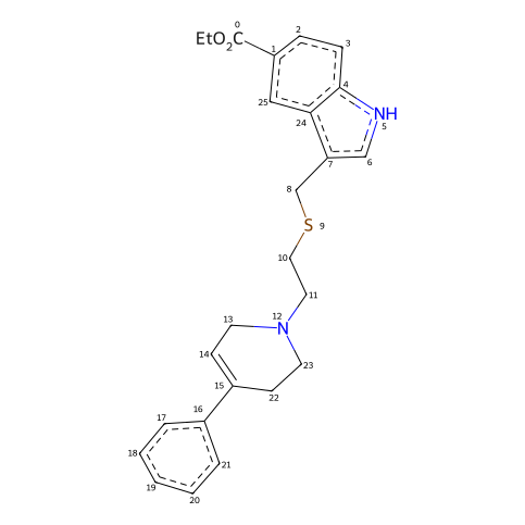 CCOC(=O)c1ccc2[nH]cc(CSCCN3CC=C(c4ccccc4)CC3)c2c1